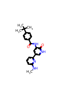 CNc1cccc(-c2c[nH]c(=O)c(NC(=O)c3ccc(C(C)(C)C)cc3)c2)n1